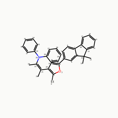 CCc1oc(-c2ccc3c(c2)C(C)(C)c2ccccc2-3)cc1/C(C)=C(/C)N(c1ccccc1)c1ccccc1